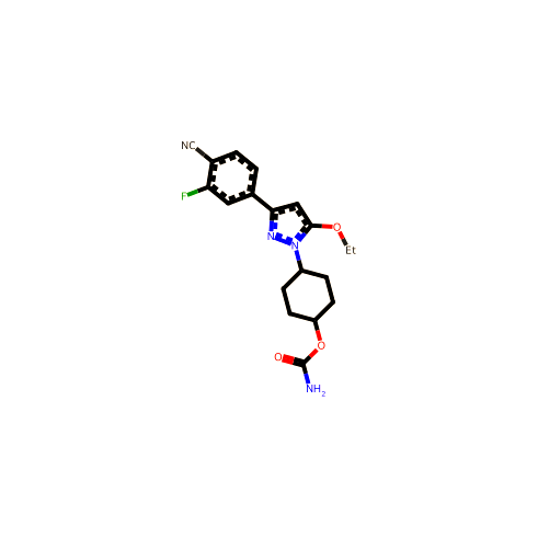 CCOc1cc(-c2ccc(C#N)c(F)c2)nn1C1CCC(OC(N)=O)CC1